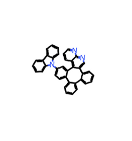 c1ccc2c(c1)-c1ccccc1-c1cnc3ncccc3c1-c1cc(-n3c4ccccc4c4ccccc43)ccc1-2